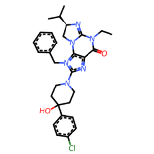 CCN1C(=O)c2nc(N3CCC(O)(c4ccc(Cl)cc4)CC3)n(Cc3ccccc3)c2N2C[C@@H](C(C)C)N=C12